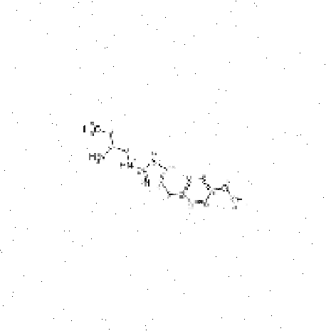 CCC(N)CNc1nc(Cc2ccc(OC)cc2)ns1